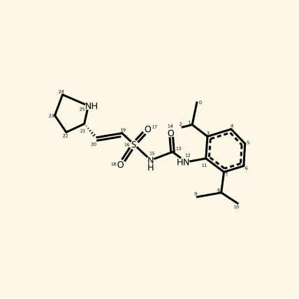 CC(C)c1cccc(C(C)C)c1NC(=O)NS(=O)(=O)/C=C/[C@@H]1CCCN1